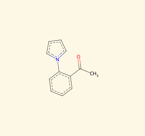 CC(=O)c1ccccc1-n1cccc1